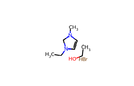 Br.CCN1C=CN(C)C1.CCO